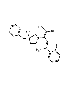 NC(N)=C(/C=C(\N)c1ccccc1O)N1CCC(O)(Cc2ccccc2)C1